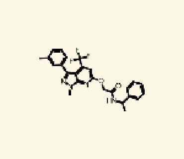 Cc1cccc(-c2nn(C)c3nc(OCC(=O)NC(C)c4ccccc4)cc(C(F)(F)F)c23)c1